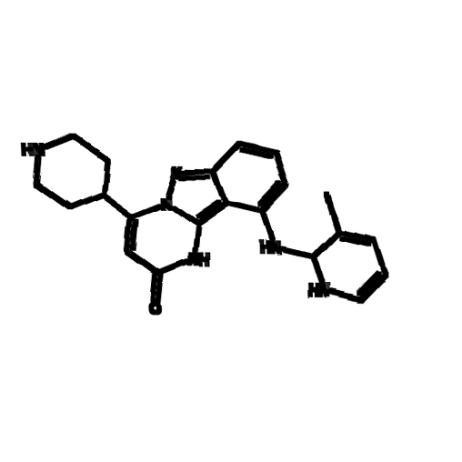 CC1=CC=CNC1Nc1cccc2nn3c(C4CCNCC4)cc(=O)[nH]c3c12